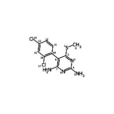 CSc1nc(N)nc(N)c1-c1ccc(Cl)cc1Cl